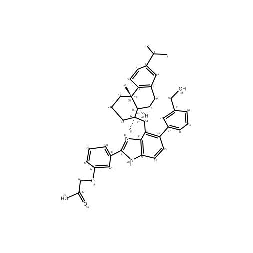 CC(C)c1ccc2c(c1)CC[C@H]1[C@@](C)(Cc3c(-c4cccc(CO)c4)ccc4[nH]c(-c5cccc(OCC(=O)O)c5)nc34)CCC[C@]21C